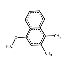 COc1cc(C)c(C)c2ccccc12